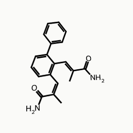 CC(=Cc1cccc(-c2ccccc2)c1C=C(C)C(N)=O)C(N)=O